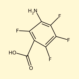 Nc1c(F)c(F)c(F)c(C(=O)O)c1F